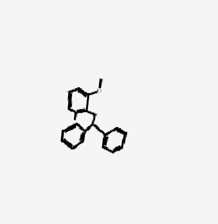 COc1c[c]cc(C)c1CC(c1ccccc1)c1ccccc1